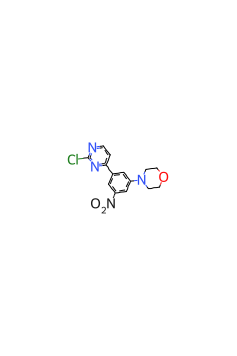 O=[N+]([O-])c1cc(-c2ccnc(Cl)n2)cc(N2CCOCC2)c1